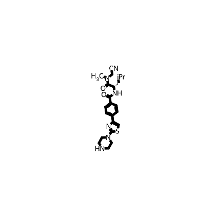 CC(C)C[C@H](NC(=O)c1ccc(-c2csc(N3CCNCC3)n2)cc1)C(=O)N(C)CC#N